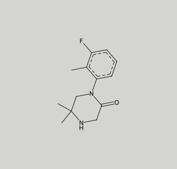 Cc1c(F)cccc1N1CC(C)(C)NCC1=O